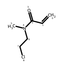 C=CC(=O)N(C)CCCl